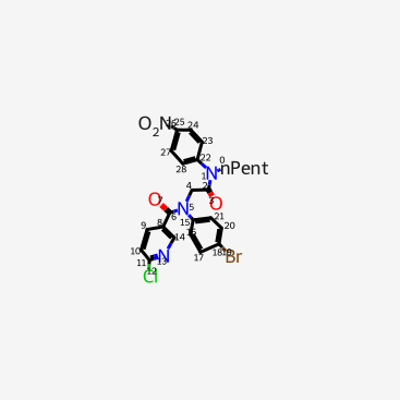 CCCCCN(C(=O)CN(C(=O)c1ccc(Cl)nc1)c1ccc(Br)cc1)c1ccc([N+](=O)[O-])cc1